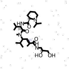 C/C(=C\C(C(C)C)N(C)C(=O)[C@@H](NC(=O)[C@H]1CCCCN1C(C)C)C(C)C)C(=O)NC[C@H](O)CO